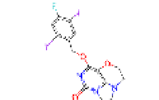 O=c1nc(OCc2cc(I)c(F)cc2I)c2c3n1CCN3CCO2